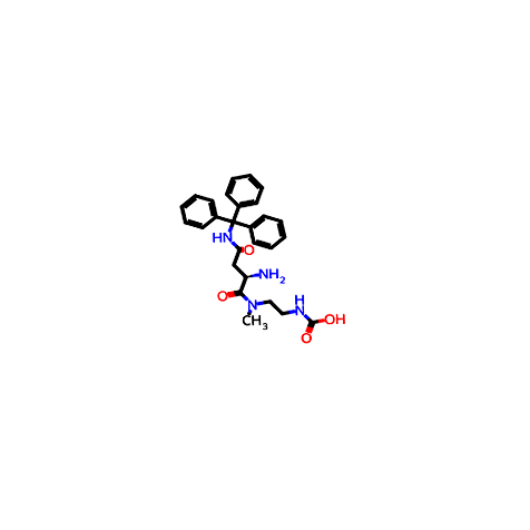 CN(CCNC(=O)O)C(=O)[C@H](N)CC(=O)NC(c1ccccc1)(c1ccccc1)c1ccccc1